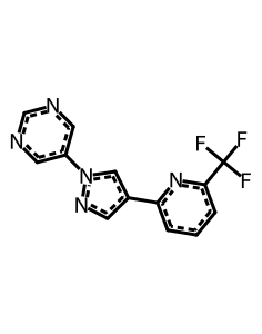 FC(F)(F)c1cccc(-c2cnn(-c3cncnc3)c2)n1